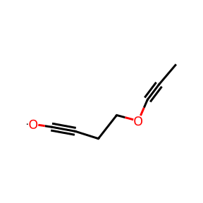 CC#COCCC#C[O]